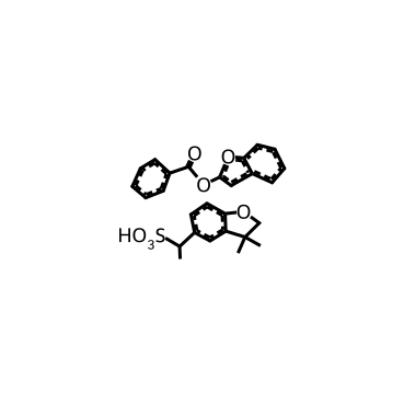 CC(c1ccc2c(c1)C(C)(C)CO2)S(=O)(=O)O.O=C(Oc1cc2ccccc2o1)c1ccccc1